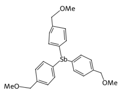 COCc1cc[c]([Sb]([c]2ccc(COC)cc2)[c]2ccc(COC)cc2)cc1